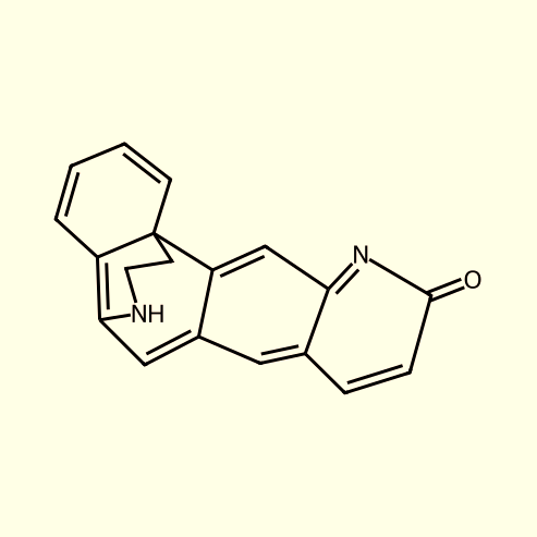 O=C1C=Cc2cc3c(cc2=N1)C12C=CC=CC1=C(C=3)NCC2